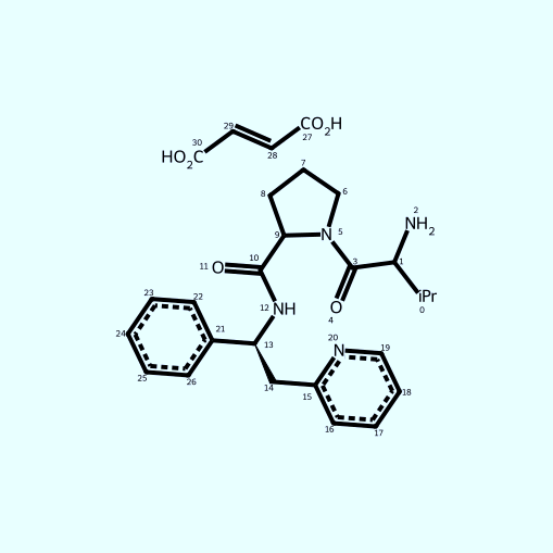 CC(C)C(N)C(=O)N1CCCC1C(=O)N[C@@H](Cc1ccccn1)c1ccccc1.O=C(O)C=CC(=O)O